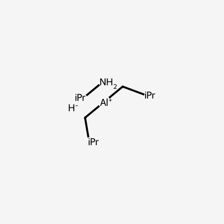 CC(C)N.CC(C)[CH2][Al+][CH2]C(C)C.[H-]